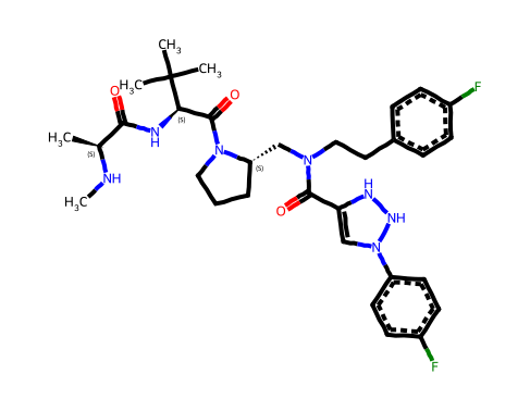 CN[C@@H](C)C(=O)N[C@H](C(=O)N1CCC[C@H]1CN(CCc1ccc(F)cc1)C(=O)C1=CN(c2ccc(F)cc2)NN1)C(C)(C)C